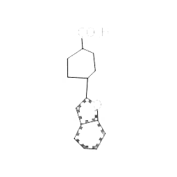 O=C(O)C1CCC(c2cc3ccccc3o2)CC1